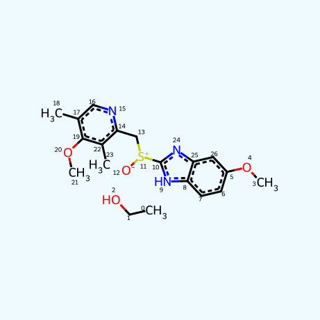 CCO.COc1ccc2[nH]c([S+]([O-])Cc3ncc(C)c(OC)c3C)nc2c1